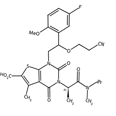 COc1ccc(F)cc1C(Cn1c(=O)n([C@H](C)C(=O)N(C)C(C)C)c(=O)c2c(C)c(C(=O)O)sc21)OCCC#N